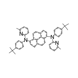 Cc1cccc(N(c2ccc(C(C)(C)C)cc2)c2ccc3ccc4c(N(c5ccc(C(C)(C)C)cc5)c5cccc(C)n5)ccc5ccc2c3c54)n1